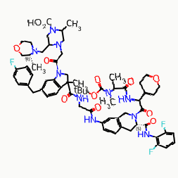 CC(C(=O)NC(C(=O)N1Cc2cc(NC(=O)CNC(=O)C3(C)CN(C(=O)CN4CC(C)N(C(=O)O)CC4CN4CCOC[C@H]4C)c4cc(Cc5ccc(F)cc5)ccc43)ccc2C[C@H]1C(=O)Nc1c(F)cccc1F)C1CCOCC1)N(C)C(=O)OC(C)(C)C